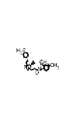 COc1cc(C)ccc1CNC(=O)CCc1nnc(CC[C@H]2CC[C@H](C)CC2)n1C1CC1